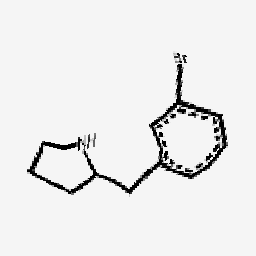 Brc1cccc(CC2CCCN2)c1